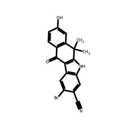 CC1(C)c2cc(O)ccc2C(=O)c2c1[nH]c1cc(C#N)c(Br)cc21